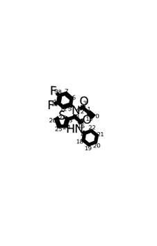 C#CC(=O)N(c1ccc(F)c(F)c1)C(C(=O)NC1CCCCC1)c1cccs1